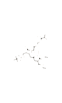 CCOC(=O)C(CC(=S)[C@H](C)[C@@H]1[C@@H]([C@@H](C)O[Si](C)(C)C(C)(C)C)C(=O)N1C(O)C(=O)OCOC(=O)C(C)C)C(=O)OCC